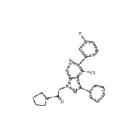 O=C(Cn1nc(-c2ccccc2)c2c(Cl)c(-c3cccc(F)c3)nnc21)N1CCCC1